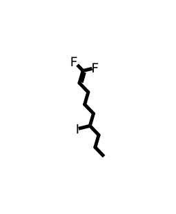 CCCC(I)CCCC=C(F)F